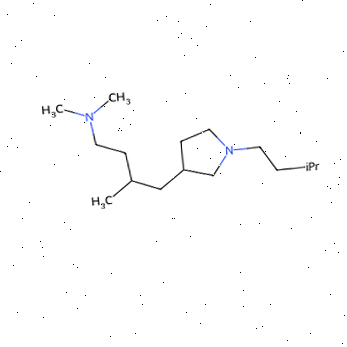 CC(C)CCN1CCC(CC(C)CCN(C)C)C1